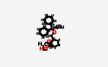 CC1C2CCC1(CO[Si](c1ccccc1)(c1ccccc1)C(C)(C)C)OC2O